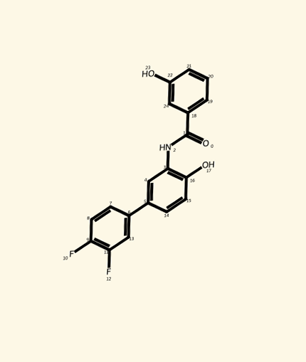 O=C(Nc1cc(-c2ccc(F)c(F)c2)ccc1O)c1cccc(O)c1